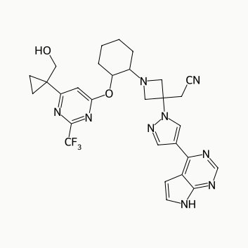 N#CCC1(n2cc(-c3ncnc4[nH]ccc34)cn2)CN(C2CCCCC2Oc2cc(C3(CO)CC3)nc(C(F)(F)F)n2)C1